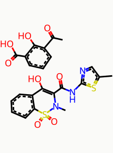 CC(=O)c1cccc(C(=O)O)c1O.Cc1cnc(NC(=O)C2=C(O)c3ccccc3S(=O)(=O)N2C)s1